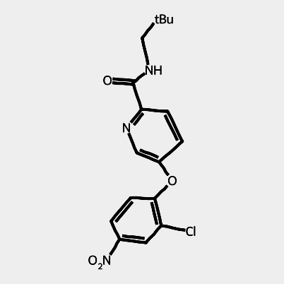 CC(C)(C)CNC(=O)c1ccc(Oc2ccc([N+](=O)[O-])cc2Cl)cn1